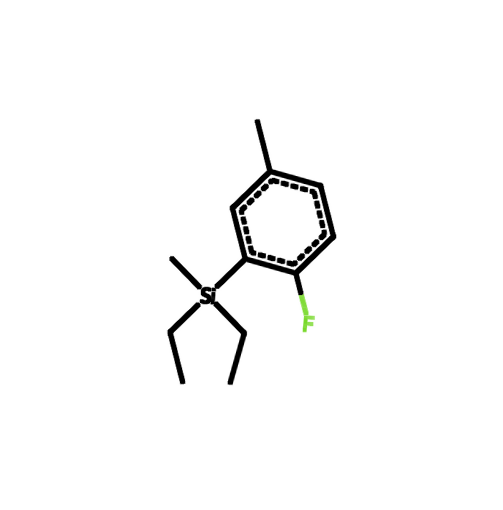 CC[Si](C)(CC)c1cc(C)ccc1F